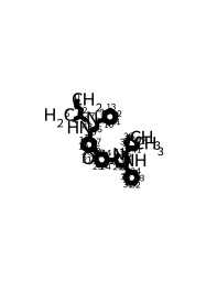 C=C/C=C(\C=C)C1=NC(c2ccccc2)C=C(c2ccc3oc4ccc(C5C=C(c6ccccc6)NC(C(/C=C\C)=C/C)=N5)cc4c3c2)N1